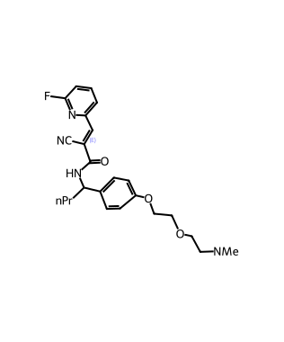 CCCC(NC(=O)/C(C#N)=C/c1cccc(F)n1)c1ccc(OCCOCCNC)cc1